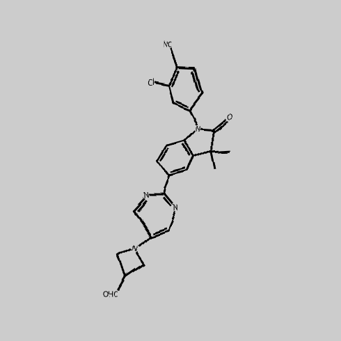 CC1(C)C(=O)N(c2ccc(C#N)c(Cl)c2)c2ccc(-c3ncc(N4CC(C=O)C4)cn3)cc21